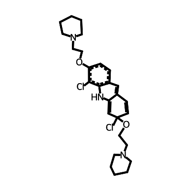 Clc1c(OCCN2CCCCC2)ccc2c1NC1=CC(Cl)(OCCN3CCCCC3)C=CC1=C2